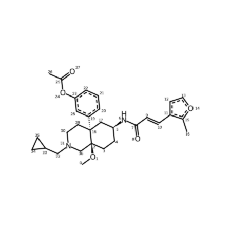 CO[C@]12CC[C@H](NC(=O)C=Cc3ccoc3C)C[C@]1(c1cccc(OC(C)=O)c1)CCN(CC1CC1)C2